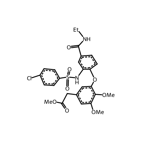 CCNC(=O)c1ccc(Oc2cc(CC(=O)OC)cc(OC)c2OC)c(NS(=O)(=O)c2ccc(Cl)cc2)c1